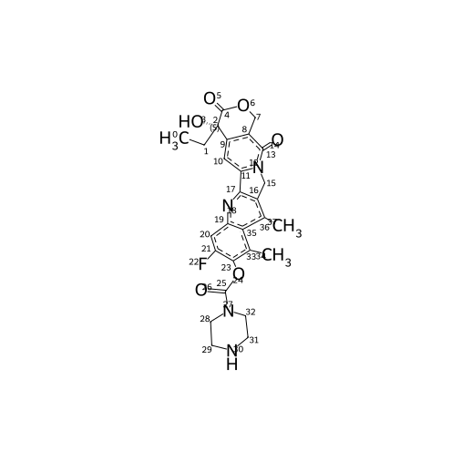 CC[C@@]1(O)C(=O)OCc2c1cc1n(c2=O)Cc2c-1nc1cc(F)c(OC(=O)N3CCNCC3)c(C)c1c2C